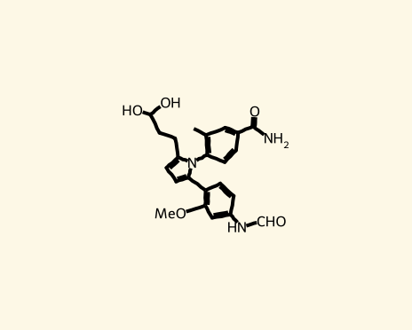 COc1cc(NC=O)ccc1-c1ccc(CCC(O)O)n1-c1ccc(C(N)=O)cc1C